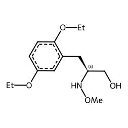 CCOc1ccc(OCC)c(C[C@@H](CO)NOC)c1